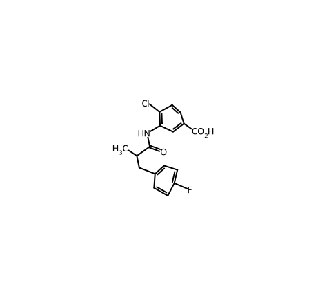 CC(Cc1ccc(F)cc1)C(=O)Nc1cc(C(=O)O)ccc1Cl